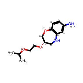 CC(C)OCCO[C@H]1CNc2cc(N)ccc2OC1